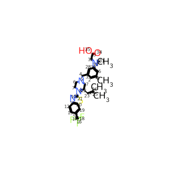 Cc1cc(CN2CCN(c3nc4ccc(C(F)(F)F)cc4s3)[C@H](CC(C)C)C2)cc(N(C)CC(=O)O)c1